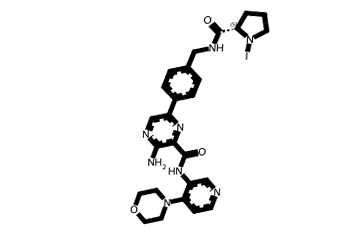 Nc1ncc(-c2ccc(CNC(=O)[C@@H]3CCCN3I)cc2)nc1C(=O)Nc1cnccc1N1CCOCC1